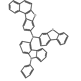 c1ccc(-n2c3ccccc3c3c(N(c4ccc5c(c4)oc4ccc6ccccc6c45)c4ccc5c(c4)sc4ccccc45)cccc32)cc1